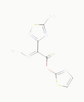 CON=C(C(=S)Oc1nccs1)c1nsc(N)n1